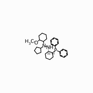 COC1CCCCC1N(N[C@H]1CCCC[C@@H]1P(c1ccccc1)c1ccccc1)C1CCCC1